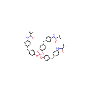 C=C(C)C(=O)Nc1ccc(Cc2ccc(OP(=O)(Oc3ccc(Cc4ccc(NC(=O)C(=C)C)cc4)cc3)Oc3ccc(Cc4ccc(NC(=O)C(=C)C)cc4)cc3)cc2)cc1